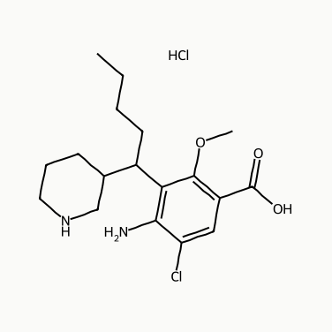 CCCCC(c1c(N)c(Cl)cc(C(=O)O)c1OC)C1CCCNC1.Cl